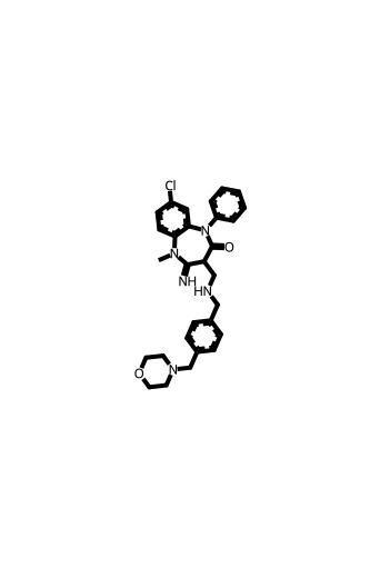 CN1C(=N)C(CNCc2ccc(CN3CCOCC3)cc2)C(=O)N(c2ccccc2)c2cc(Cl)ccc21